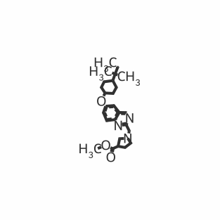 CCC(C)(C)C1CCC(Oc2ccc3nc(CN4CCC(C(=O)OC)C4)ncc3c2)CC1